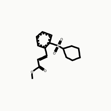 COC(=O)/C=C/c1ccccc1S(=O)(=O)C1CCCCC1